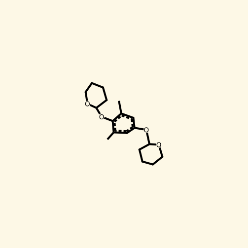 Cc1cc(OC2CCCCO2)cc(C)c1OC1CCCCO1